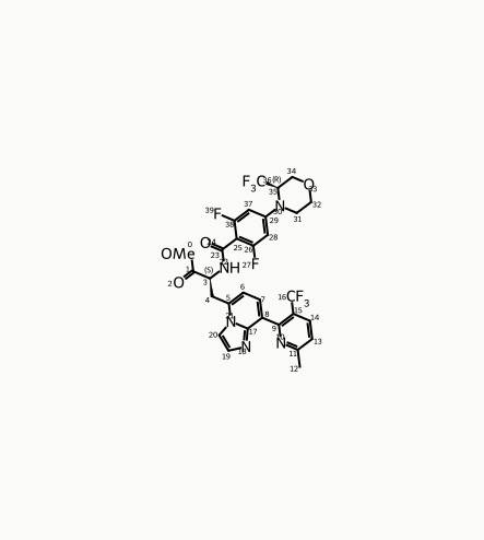 COC(=O)[C@H](Cc1ccc(-c2nc(C)ccc2C(F)(F)F)c2nccn12)NC(=O)c1c(F)cc(N2CCOC[C@@H]2C(F)(F)F)cc1F